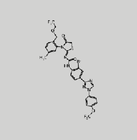 Cc1ccc(COCC(F)(F)F)c(N2C(=O)CSC2=NC(=O)Nc2ccc(-c3ncn(-c4ccc(OC(F)(F)F)cc4)n3)cc2Br)c1